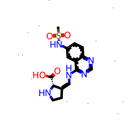 CS(=O)(=O)Nc1ccc2ncnc(NC=C3CCN[C@@H]3C(=O)O)c2c1